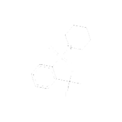 O=S(=O)(c1ccccc1C(F)(F)F)N1CC[CH]CC1